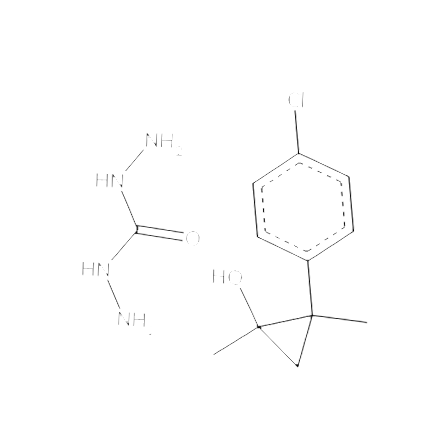 CC1(O)CC1(C)c1ccc(Cl)cc1.NNC(=O)NN